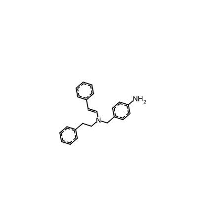 Nc1ccc(CN(C=Cc2ccccc2)CCc2ccccc2)cc1